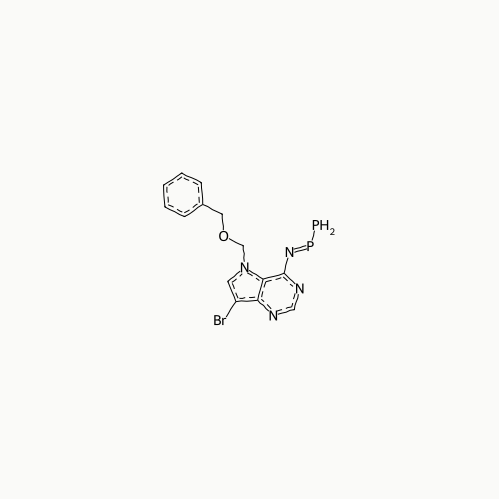 P/P=N/c1ncnc2c(Br)cn(COCc3ccccc3)c12